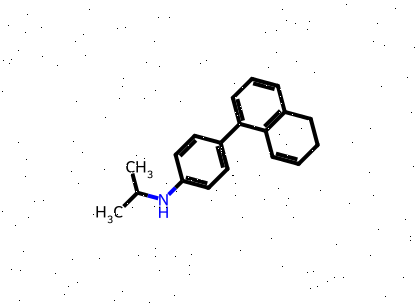 CC(C)Nc1ccc(-c2cccc3c2C=CCC3)cc1